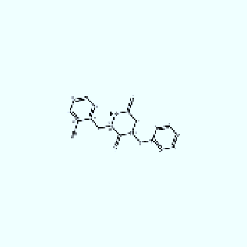 O=C1CN(Cc2ccccc2)C(=O)[C@@H](Cc2ccccc2Br)N1